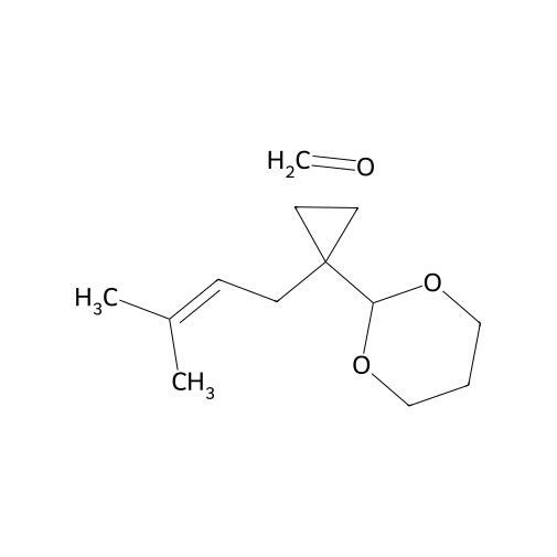 C=O.CC(C)=CCC1(C2OCCCO2)CC1